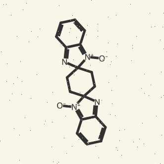 [O-][N+]1=c2ccccc2=NC12CCC1(CC2)N=c2ccccc2=[N+]1[O-]